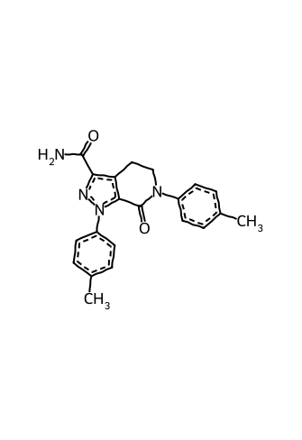 Cc1ccc(N2CCc3c(C(N)=O)nn(-c4ccc(C)cc4)c3C2=O)cc1